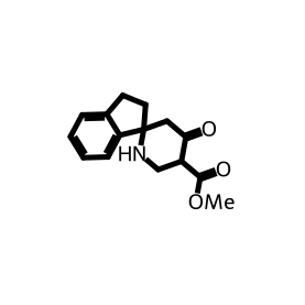 COC(=O)C1CNC2(CCc3ccccc32)CC1=O